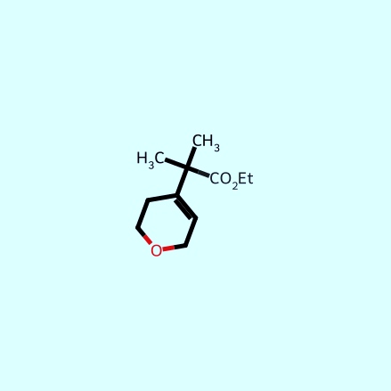 CCOC(=O)C(C)(C)C1=CCOCC1